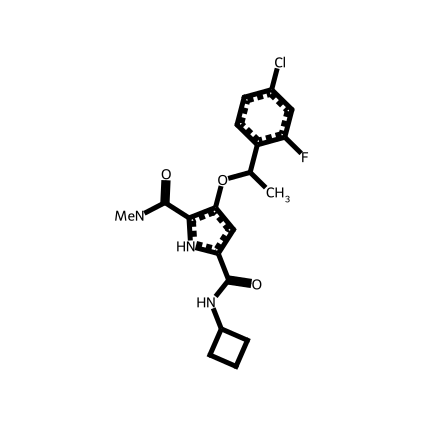 CNC(=O)c1[nH]c(C(=O)NC2CCC2)cc1OC(C)c1ccc(Cl)cc1F